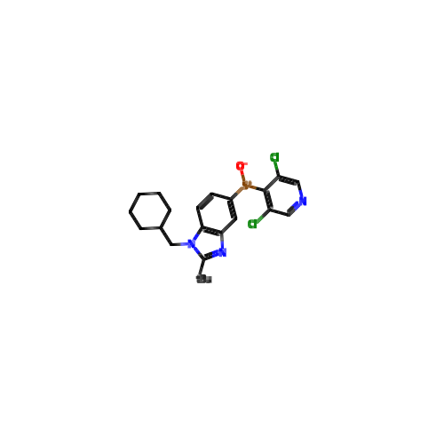 CC(C)(C)c1nc2cc([S+]([O-])c3c(Cl)cncc3Cl)ccc2n1CC1CCCCC1